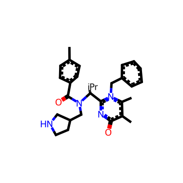 Cc1ccc(C(=O)N(CC2CCNC2)C(c2nc(=O)c(C)c(C)n2Cc2ccccc2)C(C)C)cc1